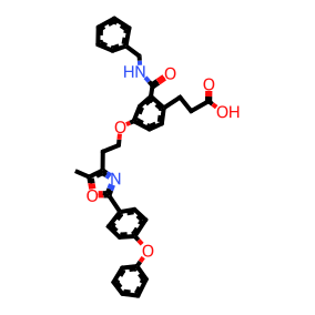 Cc1oc(-c2ccc(Oc3ccccc3)cc2)nc1CCOc1ccc(CCC(=O)O)c(C(=O)NCc2ccccc2)c1